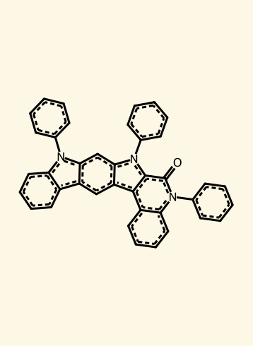 O=c1c2c(c3ccccc3n1-c1ccccc1)c1cc3c4ccccc4n(-c4ccccc4)c3cc1n2-c1ccccc1